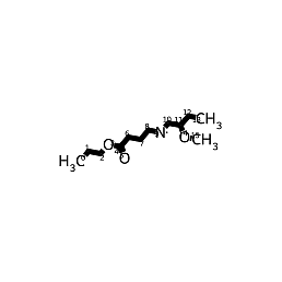 CCCOC(=O)CCC[N]CC(CC)OC